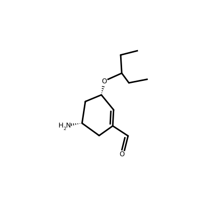 CCC(CC)O[C@@H]1C=C(C=O)C[C@H](N)C1